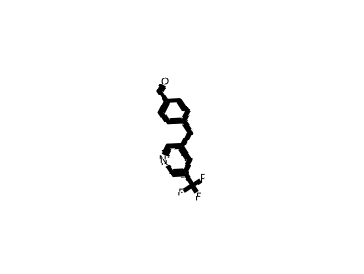 O=Cc1ccc(Cc2cncc(C(F)(F)F)c2)cc1